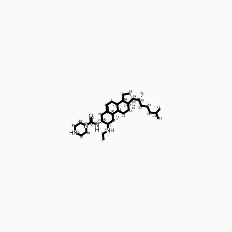 CCNC1C[C@@]2(C)C(=CCC3C2CC[C@@]2(C)C3CC[C@@H]2[C@H](C)CCCC(C)C)C[C@H]1NC(=O)N1CCNCC1